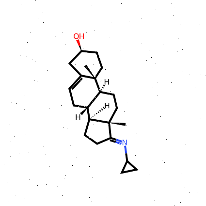 C[C@]12CC[C@H](O)CC1=CC[C@@H]1[C@@H]2CC[C@]2(C)C(=NC3CC3)CC[C@@H]12